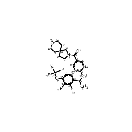 CC(Nc1ncc(C(=O)N2CCC3(CCOCC3)C2)cn1)c1ccc(OC(F)(F)F)c(F)c1F